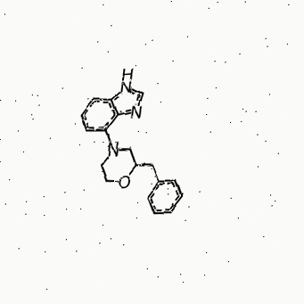 c1ccc(CC2CN(c3cccc4[nH]cnc34)CCO2)cc1